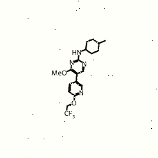 COc1nc(NC2CCC(C)CC2)ncc1-c1ccc(OCC(F)(F)F)nc1